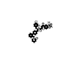 CS(=O)(=O)Nc1ccc2oc(C(=O)N[C@@H](C=C3CCC(c4ccccc4CN4CCCCC4=O)CC3)Cc3ccc(Cl)cc3)cc(=O)c2c1